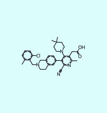 Cc1cccc(Cl)c1CN1CCc2cc(-c3c(C#N)nc(C)c(CC(=O)O)c3N3CCC(C)(C)CC3)ccc2C1